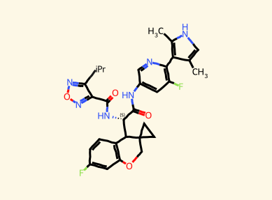 Cc1c[nH]c(C)c1-c1ncc(NC(=O)[C@@H](NC(=O)c2nonc2C(C)C)C2c3ccc(F)cc3OCC23CC3)cc1F